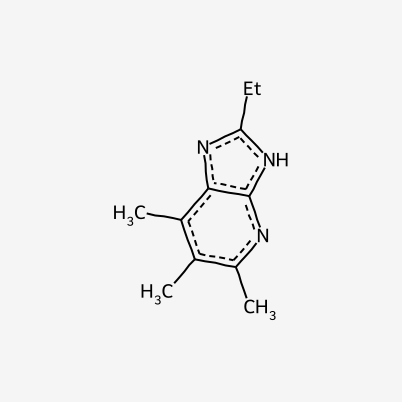 CCc1nc2c(C)c(C)c(C)nc2[nH]1